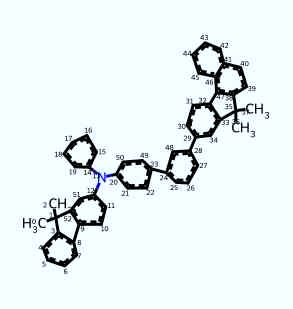 CC1(C)c2ccccc2-c2ccc(N(c3ccccc3)c3ccc(-c4cccc(-c5ccc6c(c5)C(C)(C)c5ccc7ccccc7c5-6)c4)cc3)cc21